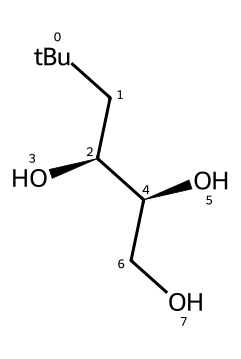 CC(C)(C)C[C@H](O)[C@@H](O)CO